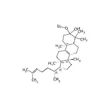 CCOC1(O)CC[C@]2(C)C3=C(CCC2C1(C)C)[C@]1(C)CC[C@H]([C@H](C)CCC=C(C)C)[C@@]1(C)CC3